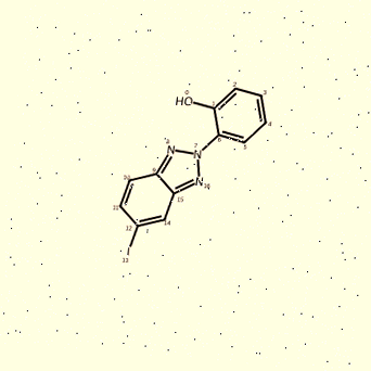 Oc1ccccc1-n1nc2ccc(I)cc2n1